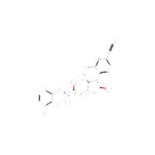 CC#Cc1cc(C)c(C2C(=O)CC(CC(=O)NCc3cccc(F)c3)C2=O)c(C)c1